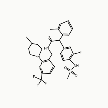 Cc1ccccc1C(C(=O)NCc1ccc(C(F)(F)F)nc1N1CCC(C)CC1)c1ccc(NS(C)(=O)=O)c(F)c1